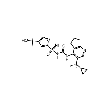 C[C@H](c1cnc2c(c1NC(=O)NS(=N)(=O)c1cc(C(C)(C)O)co1)CCC2)C1CC1